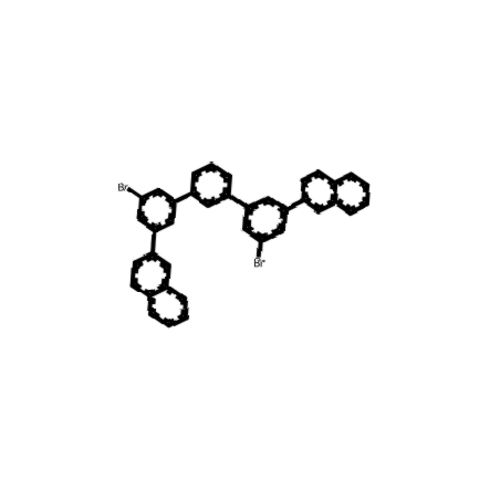 Brc1cc(-c2cccc(-c3cc(Br)cc(-c4ccc5ccccc5c4)c3)c2)cc(-c2ccc3ccccc3c2)c1